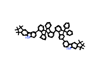 CC1(C)c2cc3[nH]c4ccc(-c5ccc6c(c5)C(c5ccccc5)(c5ccccc5)c5cccc(-c7cccc8c7-c7ccccc7C87c8ccccc8-c8c(-c9ccc%10[nH]c%11cc%12c(cc%11c%10c9)C(C)(C)C(C)(C)C%12(C)C)cccc87)c5-6)cc4c3cc2C(C)(C)C1(C)C